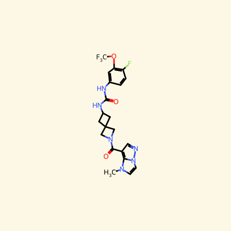 Cn1ccn2ncc(C(=O)N3CC4(CC(NC(=O)Nc5ccc(F)c(OC(F)(F)F)c5)C4)C3)c12